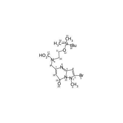 Cn1c(Br)cc2nc(CN(CCO[Si](C)(C)C(C)(C)C)C(=O)O)cc(=O)n21